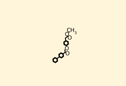 CCOC(=O)Cc1ccc(OCC(=O)c2ccc(-c3ccccc3)cc2)cc1